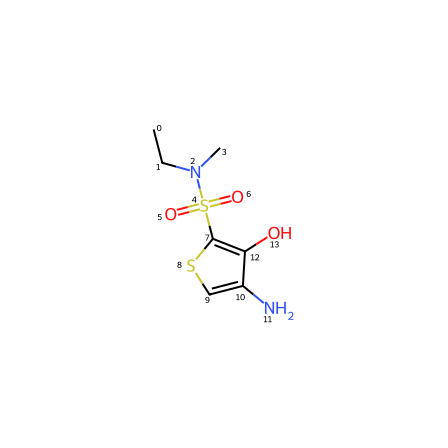 CCN(C)S(=O)(=O)c1scc(N)c1O